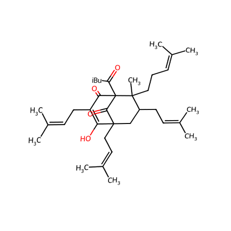 CCC(C)C(=O)C12C(=O)C(CC=C(C)C)=C(O)C(CC=C(C)C)(CC(CC=C(C)C)C1(C)CCC=C(C)C)C2=O